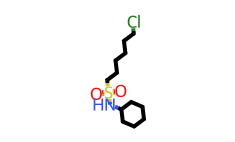 O=S(=O)(CCCCCCCl)NC1CCCCC1